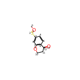 COSc1ccc2c(c1)OCCC2=O